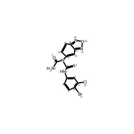 NC(=O)N(C(=S)Nc1ccc(Br)c(Cl)c1)c1ccc2nonc2c1